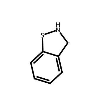 [CH]1NSc2ccccc21